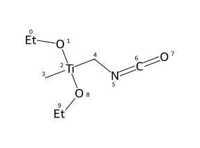 CC[O][Ti]([CH3])([CH2]N=C=O)[O]CC